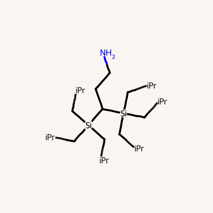 CC(C)C[Si](CC(C)C)(CC(C)C)C(CCN)[Si](CC(C)C)(CC(C)C)CC(C)C